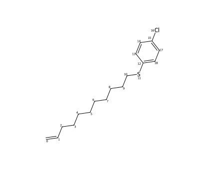 C=CCCCCCCCCCSc1ccc(Cl)cc1